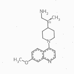 COc1ccc2c(N3CCC([C@H](C)CN)CC3)ccnc2c1